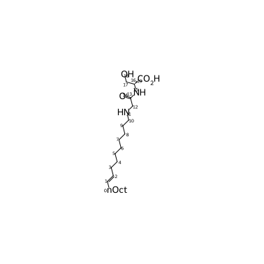 CCCCCCCCC=CCCCCCCCCNCC(=O)N[C@@H](CO)C(=O)O